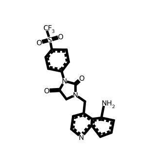 Nc1cccc2nccc(CN3CC(=O)N(c4ccc(S(=O)(=O)C(F)(F)F)cc4)C3=O)c12